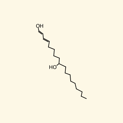 CCCCCCCCCC(O)CCCCC=CC=CO